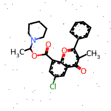 Cc1c(-c2ccccc2)oc2c(C(=O)OC(C)N3CCCCC3)cc(Cl)cc2c1=O